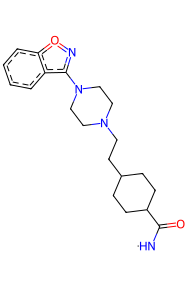 [NH]C(=O)C1CCC(CCN2CCN(c3noc4ccccc34)CC2)CC1